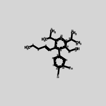 CCCC=Cc1c(C(C)C)nc(C(C)C)c(CO)c1-c1ccc(F)c(F)c1